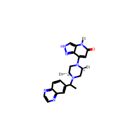 CC[C@H]1CN(C(C)c2ccc3nccnc3c2)[C@H](CC)CN1c1cc(=O)n(CC)c2c[nH]nc12